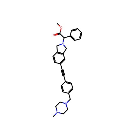 COC(=O)C(c1ccccc1)N1Cc2ccc(C#Cc3ccc(CN4CCN(C)CC4)cc3)cc2C1